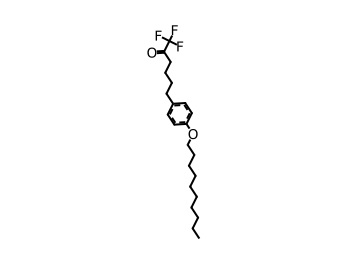 CCCCCCCCCCOc1ccc(CCCCC(=O)C(F)(F)F)cc1